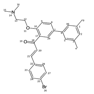 Cc1cc(C)cc(-c2ccc(OCCN(C)C)c(C(=O)C=Cc3ccc(Br)cc3)c2)c1